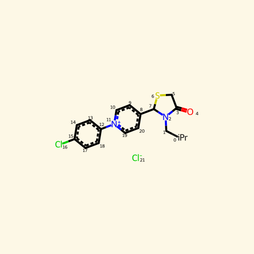 CC(C)CN1C(=O)CSC1c1cc[n+](-c2ccc(Cl)cc2)cc1.[Cl-]